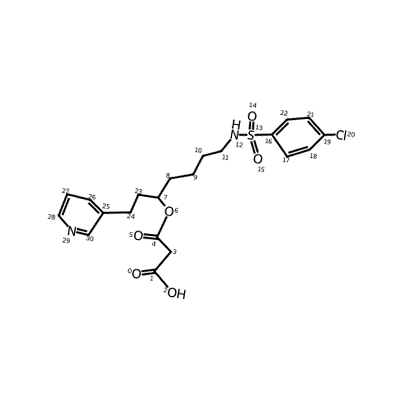 O=C(O)CC(=O)OC(CCCCNS(=O)(=O)c1ccc(Cl)cc1)CCc1cccnc1